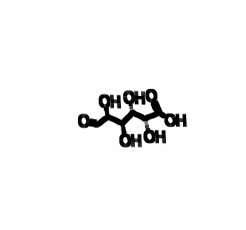 O=C[C@@H](O)[C@H](O)[C@H](O)[C@@H](O)C(=O)O